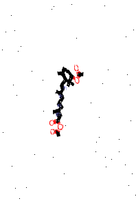 CC(=O)OC(=O)/C=C(C)/C=C/C=C(C)/C=C/C1=C(C)CCC(OC(C)=O)C1(C)C